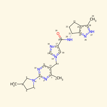 Cc1nc(N2CCC(C)C2)ncc1Cn1cnc(C(=O)N[C@@H]2CCc3c2n[nH]c3C)c1